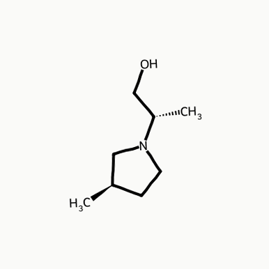 C[C@@H]1CCN([C@@H](C)CO)C1